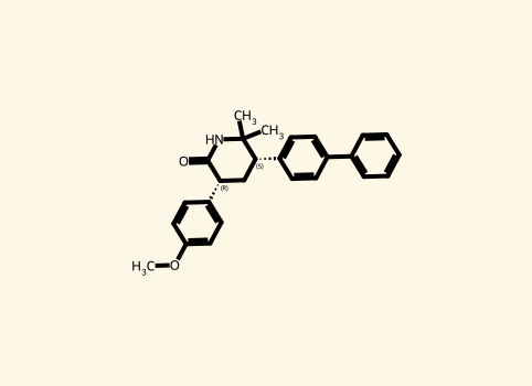 COc1ccc([C@H]2C[C@@H](c3ccc(-c4ccccc4)cc3)C(C)(C)NC2=O)cc1